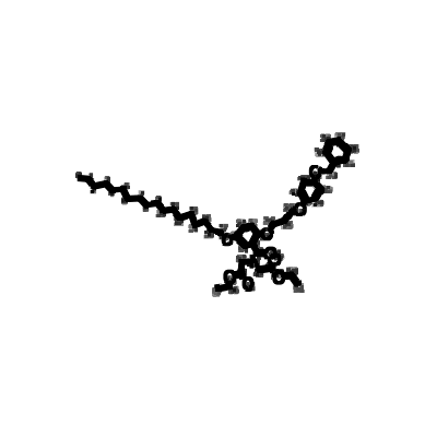 CCCCCCCCCCCCCCCCCCOc1ccc(OCCCOc2ccc(OCc3ccccc3)cc2)c(C(=O)N(CC(=O)OCC)CC(=O)OCC)c1